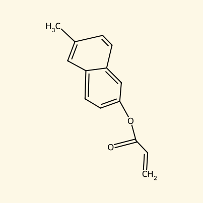 C=CC(=O)Oc1ccc2cc(C)ccc2c1